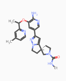 CCNC(=O)N1CC[C@@]2(CCn3nc(-c4cnc(N)c(OC(C)c5cc(C)ccn5)c4)cc32)C1